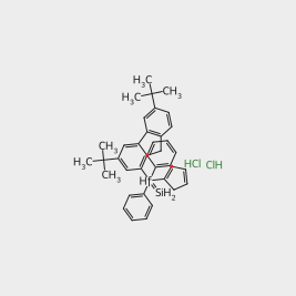 CC(C)(C)c1ccc2c(c1)-c1cc(C(C)(C)C)c[c]([Hf](=[SiH2])([C]3=CC=CC3)([c]3ccccc3)[c]3ccccc3)c1C2.Cl.Cl